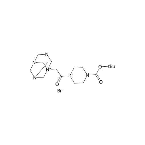 CC(C)(C)OC(=O)N1CCC(C(=O)C[N+]23CN4CN(CN(C4)C2)C3)CC1.[Br-]